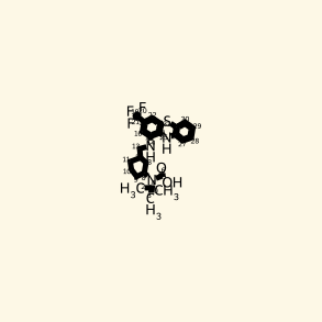 CC(C)(C)N(C(=O)O)C1CCCC(CNc2cc(C(F)(F)F)cc3c2Nc2ccccc2S3)C1